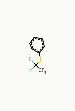 FC(F)(F)C(F)(F)Sc1ccccc1